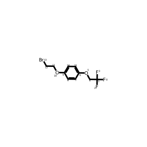 FC(F)(F)COc1ccc(OCCBr)cc1